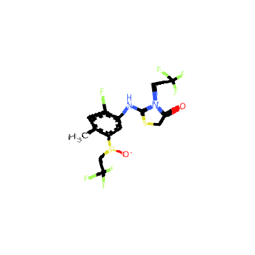 Cc1cc(F)c(NC2SCC(=O)N2CC(F)(F)F)cc1[S@@+]([O-])CC(F)(F)F